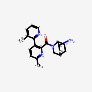 Cc1ccc(-c2ncccc2C)c(C(=O)N2CC3CCC2C(N)C3)n1